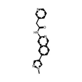 Cn1cc(-c2ccc3cnc(NC(=O)Cc4cccnc4)cc3c2)cn1